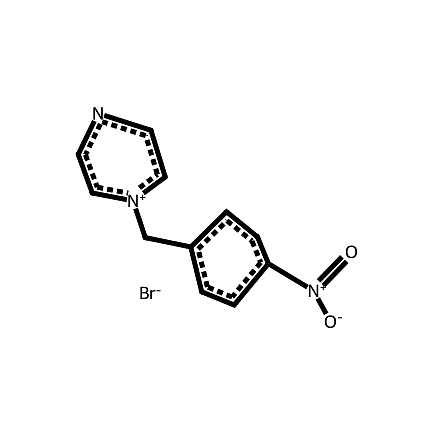 O=[N+]([O-])c1ccc(C[n+]2ccncc2)cc1.[Br-]